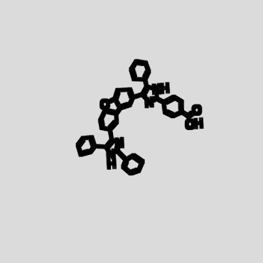 O=C(O)c1ccc(-c2nc(-c3ccc4oc5ccc(-c6nc(-c7ccccc7)[nH]c6-c6ccccc6)cc5c4c3)c(-c3ccccc3)[nH]2)cc1